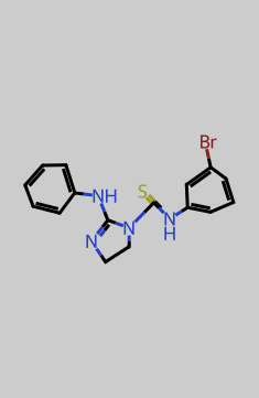 S=C(Nc1cccc(Br)c1)N1CCN=C1Nc1ccccc1